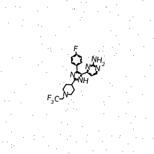 Nc1nccc(-c2[nH]c(C3CCN(CC(F)(F)F)CC3)nc2-c2ccc(F)cc2)n1